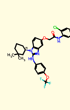 CC1(C)CCC[C@@H](n2c(Nc3ccc(OC(F)(F)F)cc3)nc3cc(OCC(=O)Nc4ccccc4Cl)ccc32)C1